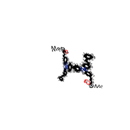 COC(=O)CCCc1ccc(N(c2ccc(/C=C/c3ccccc3)cc2)c2ccc(-c3ccc(N(c4ccc(/C=C/c5ccccc5)cc4)c4ccc(CCCC(=O)OC)cc4)cc3)cc2)cc1